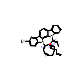 C=CC/C=C\C(=C/C)n1c2ccccc2c2ccc3c4cc(Br)ccc4n(C4=C/C=C\CC/C=C\4)c3c21